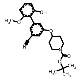 COc1cccc(O)c1-c1cc(C#N)cc(OC2CCN(C(=O)OC(C)(C)C)CC2)c1